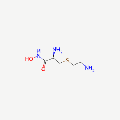 NCCSC[C@H](N)C(=O)NO